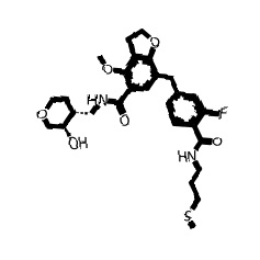 COc1c(C(=O)NC[C@H]2CCOC[C@@H]2O)cc(Cc2ccc(C(=O)NCCCSC)c(F)c2)c2c1CCO2